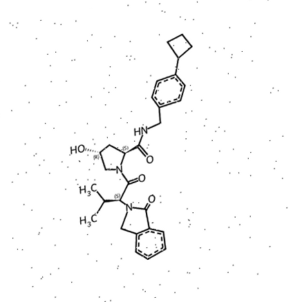 CC(C)[C@@H](C(=O)N1C[C@H](O)C[C@H]1C(=O)NCc1ccc(C2CCC2)cc1)N1Cc2ccccc2C1=O